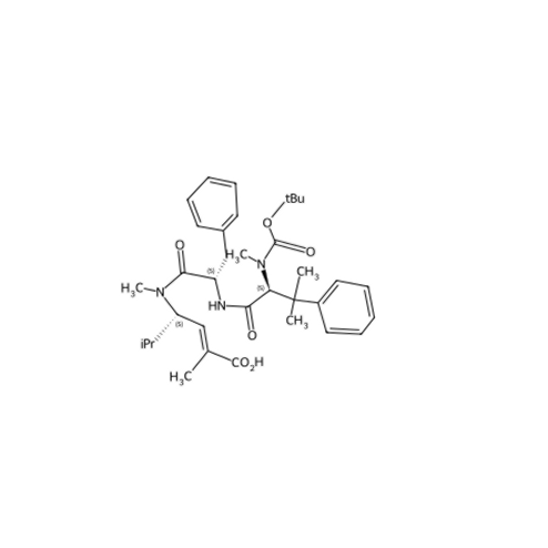 CC(=C[C@H](C(C)C)N(C)C(=O)[C@H](Cc1ccccc1)NC(=O)[C@@H](N(C)C(=O)OC(C)(C)C)C(C)(C)c1ccccc1)C(=O)O